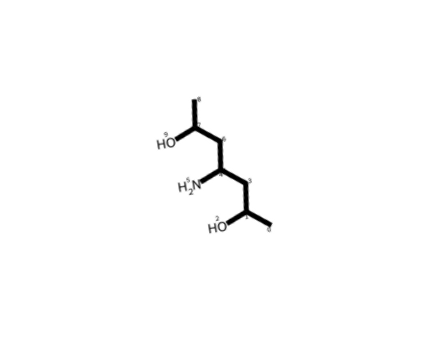 CC(O)C[C](N)CC(C)O